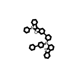 c1ccc(-c2ccc(N(c3cccc(-c4ccc5c(c4)oc4c5c5ccccc5n4-c4ccccc4)c3)c3cccc4c3sc3ccccc34)cc2)cc1